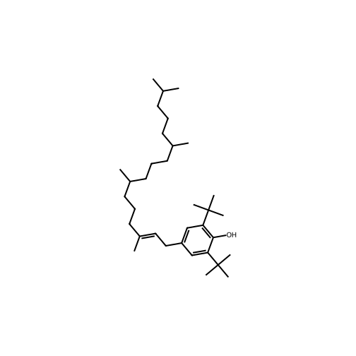 C/C(=C\Cc1cc(C(C)(C)C)c(O)c(C(C)(C)C)c1)CCCC(C)CCCC(C)CCCC(C)C